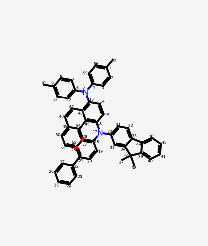 Cc1ccc(N(c2ccc(C)cc2)c2ccc(N(c3ccc(-c4ccccc4)cc3)c3ccc4c(c3)C(C)(C)c3ccccc3-4)c3c2ccc2ccccc23)cc1